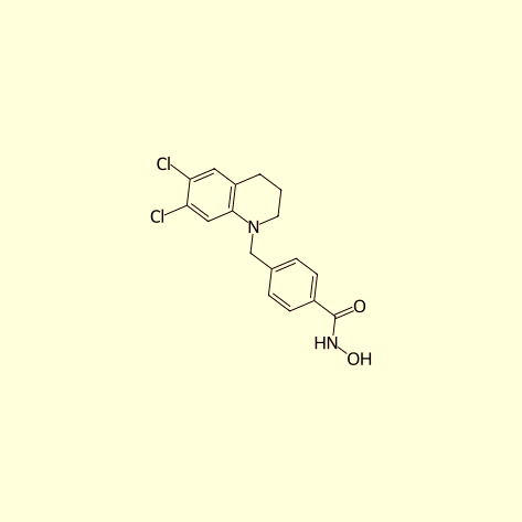 O=C(NO)c1ccc(CN2CCCc3cc(Cl)c(Cl)cc32)cc1